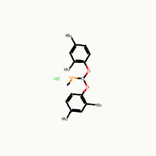 C[PH][Cr]([O]c1ccc(C(C)(C)C)cc1C(C)(C)C)[O]c1ccc(C(C)(C)C)cc1C(C)(C)C.Cl